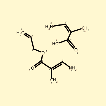 C=CCOC(=O)C(C)=CN.CC(=CN)C(=O)O